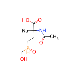 CC(=O)N[C]([Na])(CC[PH](=O)CO)C(=O)O